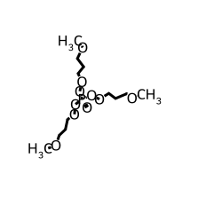 COCCCOOP(=O)(OOCCCOC)OOCCCOC